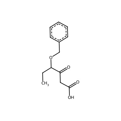 CCC(OCc1ccccc1)C(=O)CC(=O)O